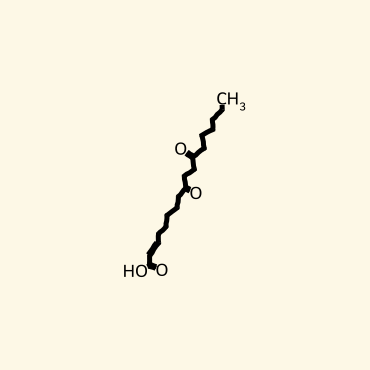 CCCCCCC(=O)CCC(=O)CCCCCC=CC(=O)O